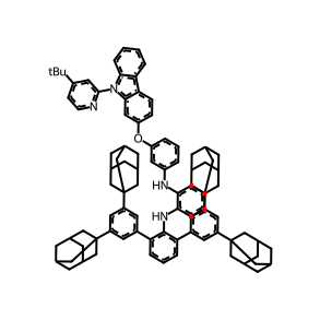 CC(C)(C)c1ccnc(-n2c3ccccc3c3ccc(Oc4cccc(Nc5ccccc5Nc5c(-c6cc(C78CC9CC(CC(C9)C7)C8)cc(C78CC9CC(CC(C9)C7)C8)c6)cccc5-c5cc(C67CC8CC(CC(C8)C6)C7)cc(C67CC8CC(CC(C8)C6)C7)c5)c4)cc32)c1